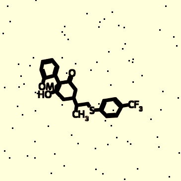 COc1ccccc1C1=C(O)CC(C(C)CSc2ccc(C(F)(F)F)cc2)CC1=O